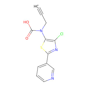 C#CCN(C(=O)O)c1sc(-c2cccnc2)nc1Cl